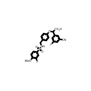 COc1ccc(S(=O)(=O)NCc2ccc(OC(C(=O)O)c3cc(F)cc(C#N)c3)cc2)cc1F